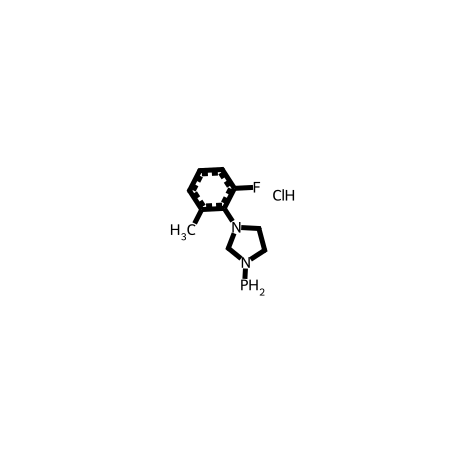 Cc1cccc(F)c1N1CCN(P)C1.Cl